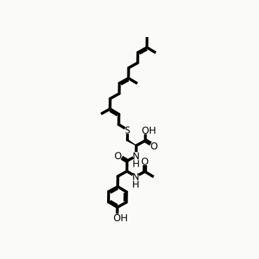 CC(=O)NC(Cc1ccc(O)cc1)C(=O)N[C@@H](CSC/C=C(\C)CC/C=C(\C)CCC=C(C)C)C(=O)O